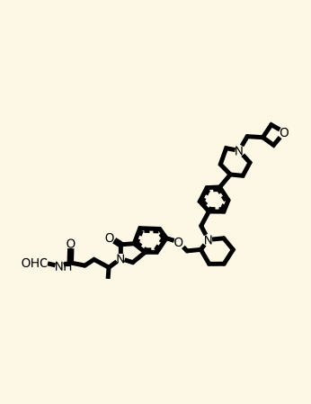 CC(CCC(=O)NC=O)N1Cc2cc(OCC3CCCCN3Cc3ccc(C4CCN(CC5COC5)CC4)cc3)ccc2C1=O